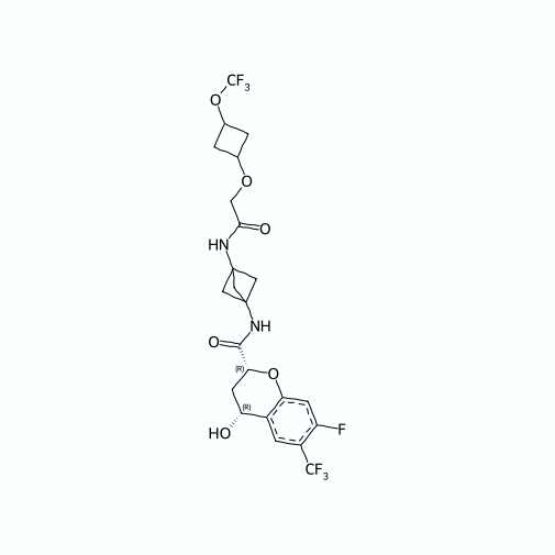 O=C(COC1CC(OC(F)(F)F)C1)NC12CC(NC(=O)[C@H]3C[C@@H](O)c4cc(C(F)(F)F)c(F)cc4O3)(C1)C2